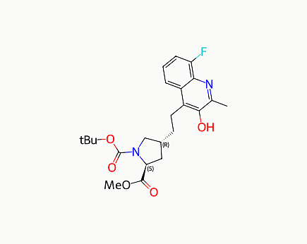 COC(=O)[C@@H]1C[C@@H](CCc2c(O)c(C)nc3c(F)cccc23)CN1C(=O)OC(C)(C)C